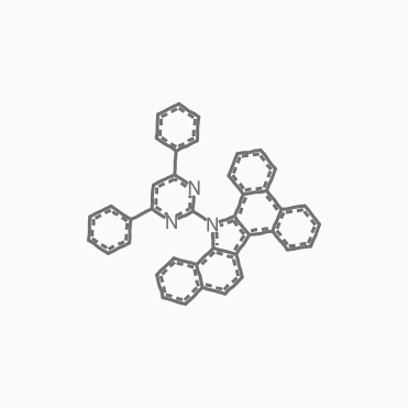 c1ccc(-c2cc(-c3ccccc3)nc(-n3c4c5ccccc5ccc4c4c5ccccc5c5ccccc5c43)n2)cc1